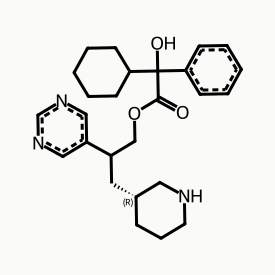 O=C(OCC(C[C@H]1CCCNC1)c1cncnc1)C(O)(c1ccccc1)C1CCCCC1